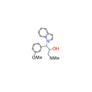 CNCC(O)C(c1cccc(OC)c1)n1ccc2ccccc21